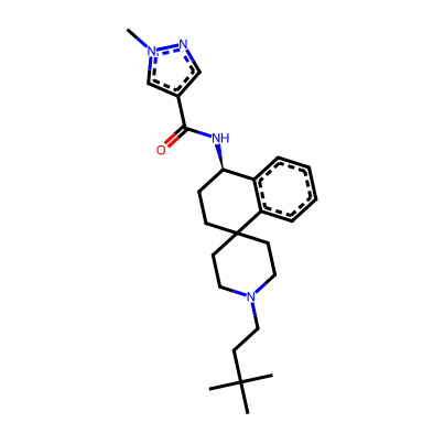 Cn1cc(C(=O)N[C@@H]2CCC3(CCN(CCC(C)(C)C)CC3)c3ccccc32)cn1